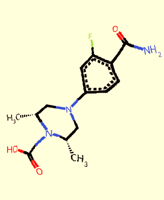 C[C@@H]1CN(c2ccc(C(N)=O)c(F)c2)C[C@H](C)N1C(=O)O